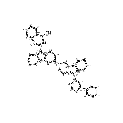 N#Cc1nc(-n2c3ccccc3c3cc(-c4ccc5c(c4)c4ccccc4n5-c4cccc(-c5ccccc5)c4)ccc32)nc2ccccc12